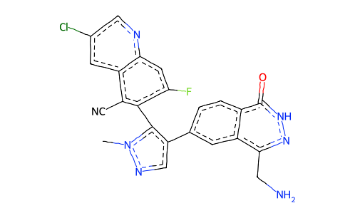 Cn1ncc(-c2ccc3c(=O)[nH]nc(CN)c3c2)c1-c1c(F)cc2ncc(Cl)cc2c1C#N